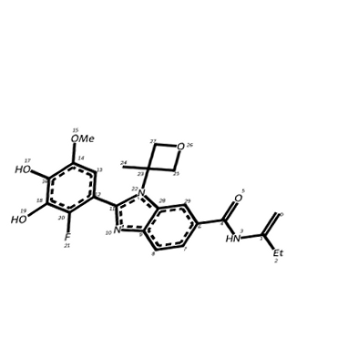 C=C(CC)NC(=O)c1ccc2nc(-c3cc(OC)c(O)c(O)c3F)n(C3(C)COC3)c2c1